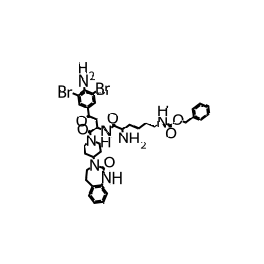 Nc1c(Br)cc(C(=O)CC(NC(=O)C(N)CCCCNC(=O)OCc2ccccc2)C(=O)N2CCC(N3CCc4ccccc4NC3=O)CC2)cc1Br